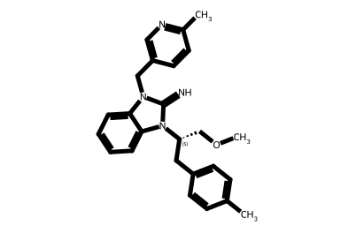 COC[C@H](Cc1ccc(C)cc1)n1c(=N)n(Cc2ccc(C)nc2)c2ccccc21